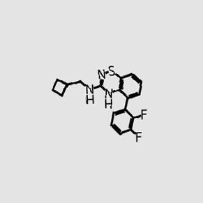 Fc1cccc(-c2cccc3c2NC(NCC2CCC2)=NS3)c1F